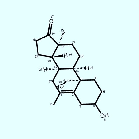 CC1=C2CC(O)CC[C@]2(CO)[C@@H]2CC[C@]3(C)C(=O)CC[C@H]3[C@@H]2C1